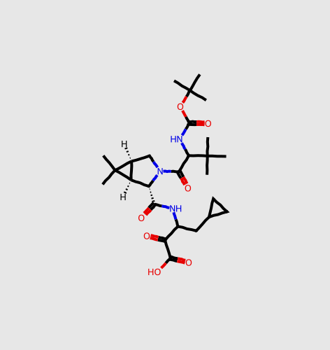 CC(C)(C)OC(=O)NC(C(=O)N1C[C@H]2[C@@H]([C@H]1C(=O)NC(CC1CC1)C(=O)C(=O)O)C2(C)C)C(C)(C)C